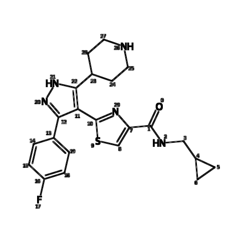 O=C(NCC1CC1)c1csc(-c2c(-c3ccc(F)cc3)n[nH]c2C2CCNCC2)n1